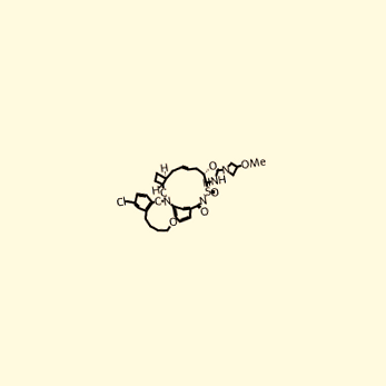 COC1CN(C(=O)NC2[C@@H](C)C/C=C/C[C@@H]3CC[C@H]3CN3Cc4ccc(Cl)cc4CCCCOc4ccc(cc43)C(=O)/N=[SH]\2=O)C1